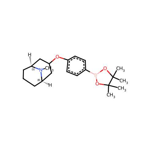 CN1[C@@H]2CCC[C@H]1CC(Oc1ccc(B3OC(C)(C)C(C)(C)O3)cc1)C2